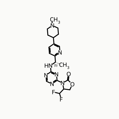 C[C@H](Nc1ncnc(N2C(=O)OCC2C(F)F)n1)c1ccc(C2CCN(C)CC2)cn1